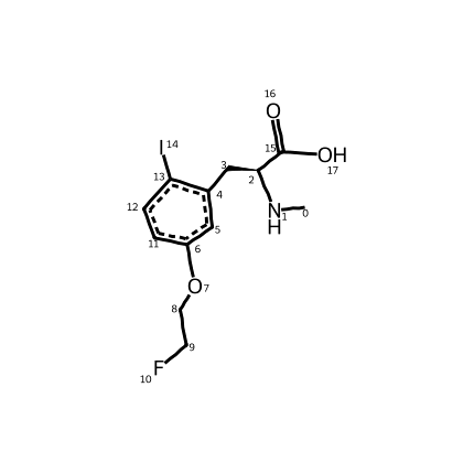 CN[C@@H](Cc1cc(OCCF)ccc1I)C(=O)O